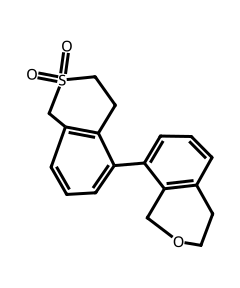 O=S1(=O)CCc2c(cccc2-c2cccc3c2COCC3)C1